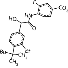 CCCCC(C)(C)c1ccc(C(O)C(=O)Nc2ccc(C(=O)O)cc2F)cc1CC